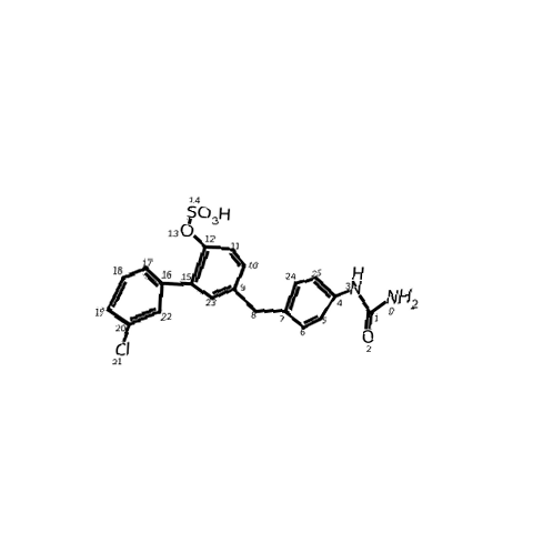 NC(=O)Nc1ccc(Cc2ccc(OS(=O)(=O)O)c(-c3cccc(Cl)c3)c2)cc1